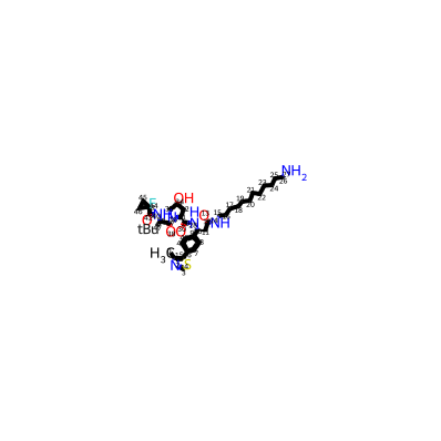 Cc1ncsc1-c1ccc([C@H](CC(=O)NCCCCCCCCCCCCN)NC(=O)[C@@H]2C[C@@H](O)CN2C(=O)C(NC(=O)C2(F)CC2)C(C)(C)C)cc1